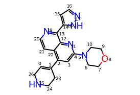 C1=C(c2cc(N3CCOCC3)nc3c(-c4ccn[nH]4)nccc23)CCNC1